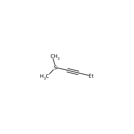 CCC#C[Si](C)C